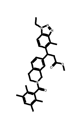 CCn1nnc2c(C)c(C(CC(=O)OC)c3ccc4c(c3)CN(C(=O)c3c(C)c(C)cc(C)c3C)CC4)ccc21